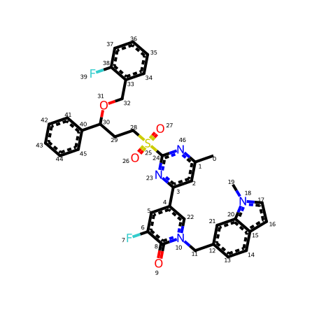 Cc1cc(-c2cc(F)c(=O)n(Cc3ccc4ccn(C)c4c3)c2)nc(S(=O)(=O)CCC(OCc2ccccc2F)c2ccccc2)n1